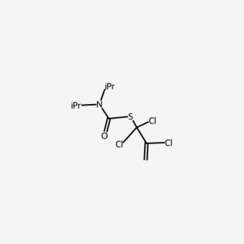 C=C(Cl)C(Cl)(Cl)SC(=O)N(C(C)C)C(C)C